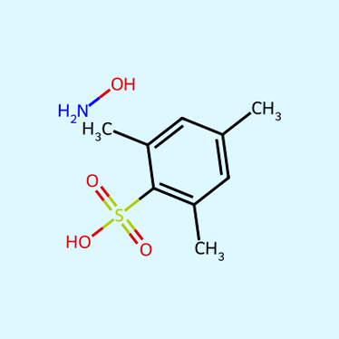 Cc1cc(C)c(S(=O)(=O)O)c(C)c1.NO